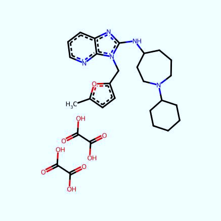 Cc1ccc(Cn2c(NC3CCCN(C4CCCCC4)CC3)nc3cccnc32)o1.O=C(O)C(=O)O.O=C(O)C(=O)O